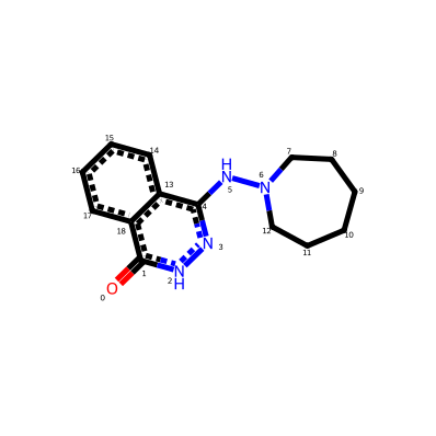 O=c1[nH]nc(NN2CCCCCC2)c2ccccc12